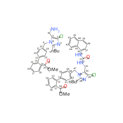 CCCCc1nc(Cl)c(CN)n1Cc1ccc(-c2ccccc2C(=O)OC)cc1.CCCCc1nc(Cl)c(CNC(=O)Nc2cccc3ccccc23)n1Cc1ccc(-c2ccccc2C(=O)OC)cc1